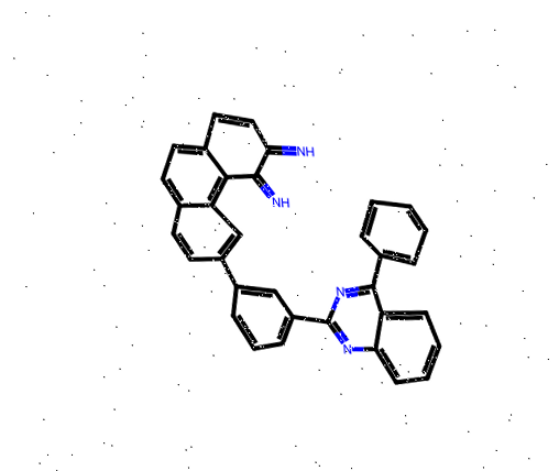 N=C1C=Cc2ccc3ccc(-c4cccc(-c5nc(-c6ccccc6)c6ccccc6n5)c4)cc3c2C1=N